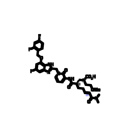 COCCN(C[C@H](CC/C=C/C(=O)N(C)C)C(=O)Nc1cccn(Cc2nc3cc(F)cc(OCc4ccc(F)cc4F)c3[nH]2)c1=O)C(=O)O